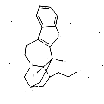 OCC[C@H]1C[C@@H]2C[C@H]3c4[nH]c5ccccc5c4CCN(C2)[C@@H]13